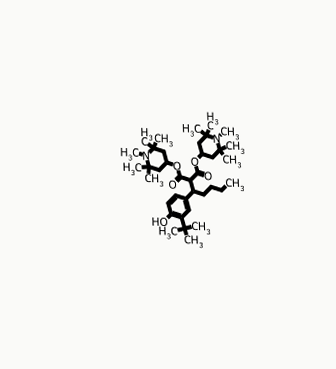 CCCCC(c1ccc(O)c(C(C)(C)C)c1)C(C(=O)OC1CC(C)(C)N(C)C(C)(C)C1)C(=O)OC1CC(C)(C)N(C)C(C)(C)C1